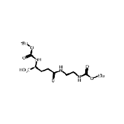 CC(C)(C)OC(=O)NCCNC(=O)CC[C@H](NC(=O)OC(C)(C)C)C(=O)O